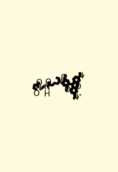 CCN(CCCC(=O)NCCN1C(=O)C=CC1=O)c1cc(OC)c(-c2c3ccc(=[N+](C)C)cc-3oc3cc(N(C)C)ccc23)cc1OC